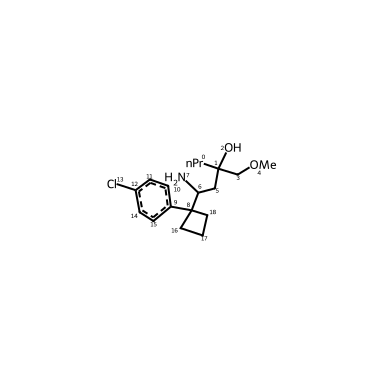 CCCC(O)(COC)CC(N)C1(c2ccc(Cl)cc2)CCC1